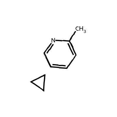 C1CC1.Cc1ccccn1